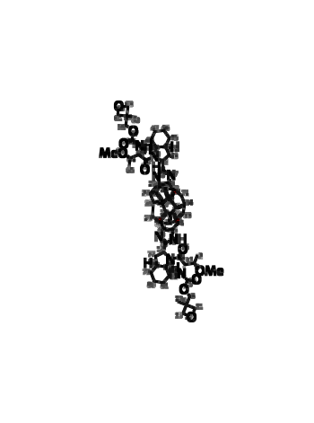 CO[C@H](C)[C@H](NC(=O)OCC1(C)COC1)C(=O)N1[C@H](c2nc3cc(-c4cc5ccc4CCc4ccc(c(-c6ccc7[nH]c([C@@H]8C[C@@H]9CCCC[C@@H]9N8C(=O)[C@@H](NC(=O)OCC8(C)COC8)[C@@H](C)OC)nc7c6)c4)CC5)ccc3[nH]2)C[C@@H]2CCCC[C@@H]21